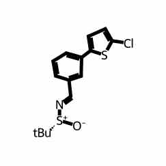 CC(C)(C)[S@@+]([O-])/N=C/c1cccc(-c2ccc(Cl)s2)c1